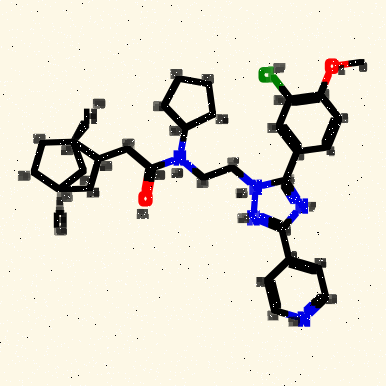 COc1ccc(-c2nc(-c3ccncc3)nn2CCN(C(=O)CC2C[C@H]3CC[C@H]2C3)C2CCCC2)cc1Cl